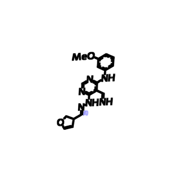 COc1cccc(Nc2ncnc(N/N=C/C3C=COC3)c2C=N)c1